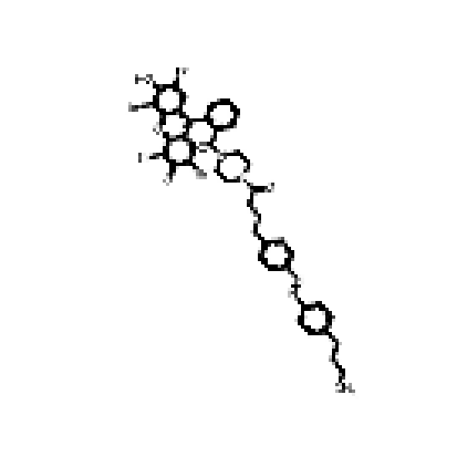 CCCCc1ccc(N=Nc2ccc(CCCC(=O)N3CCN(C(=O)c4ccccc4-c4c5cc(Br)c(=O)c(Br)c-5oc5c(Br)c(O)c(Br)cc45)CC3)cc2)cc1